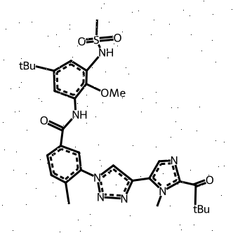 COc1c(NC(=O)c2ccc(C)c(-n3cc(-c4cnc(C(=O)C(C)(C)C)n4C)nn3)c2)cc(C(C)(C)C)cc1NS(C)(=O)=O